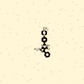 CN1CCN(c2ccc(-c3nc4c(c(C5CCCCC5)nn4C)c(=O)[nH]3)cc2)CC1